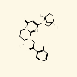 Cc1ccncc1C(=O)CN1c2nc(N3C[C@@H]4C[C@H]3CO4)cc(=O)n2CC[C@H]1C(F)(F)F